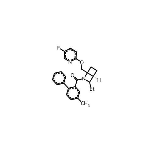 CCC1[C@@H]2CCC2(COc2ccc(F)cn2)N1C(=O)c1cc(C)ccc1-c1ccccc1